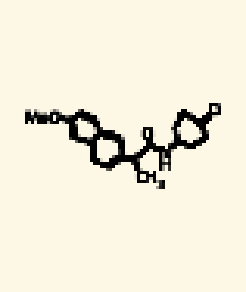 COc1ccc2cc(C(C)C(=O)NC3CCC(=O)CC3)ccc2c1